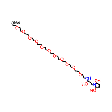 COCCOCCOCCOCCOCCOCCOCCOCCOCCOCCOCCOCCN[C@H](O)CCN1[C@H](O)C=C[C@@H]1O